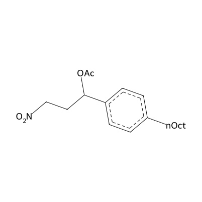 CCCCCCCCc1ccc(C(CC[N+](=O)[O-])OC(C)=O)cc1